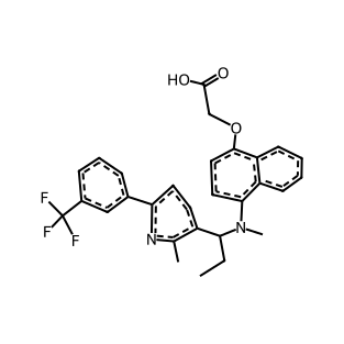 CCC(c1ccc(-c2cccc(C(F)(F)F)c2)nc1C)N(C)c1ccc(OCC(=O)O)c2ccccc12